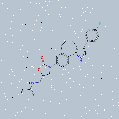 CC(=O)NC[C@H]1CN(c2ccc3c(c2)CCCc2c(-c4ccc(F)cc4)n[nH]c2-3)C(=O)O1